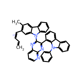 C=C/C=C\c1cc2c(cc1C)c1ccccc1n2-c1nc2cccnc2nc1-c1cccc2c3ccccc3n(-c3ccccc3)c12